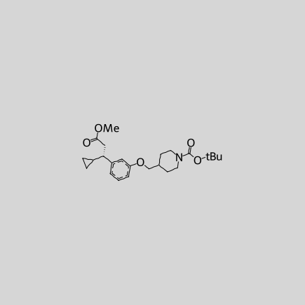 COC(=O)C[C@H](c1cccc(OCC2CCN(C(=O)OC(C)(C)C)CC2)c1)C1CC1